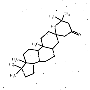 CC1(C)CC(=O)CC2(CCC3(C)C(CCC4C3CCC3(C)C4CCC3(C)O)C2)N1